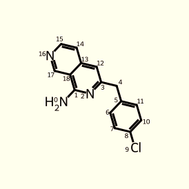 Nc1nc(Cc2ccc(Cl)cc2)cc2ccncc12